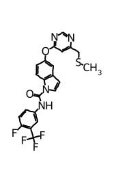 CSCc1cc(Oc2ccc3c(ccn3C(=O)Nc3ccc(F)c(C(F)(F)F)c3)c2)ncn1